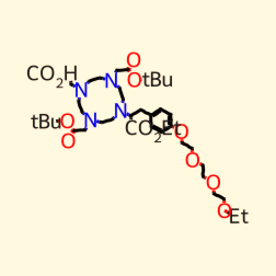 CCOCCOCCOCCOc1ccc(CC(C(=O)OCC)N2CCN(CC(=O)OC(C)(C)C)CCN(CC(=O)O)CCN(CC(=O)OC(C)(C)C)CC2)cc1